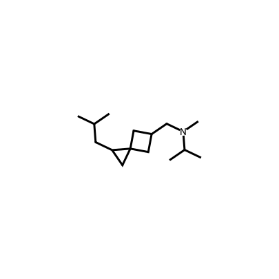 CC(C)CC1CC12CC(CN(C)C(C)C)C2